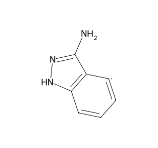 Nc1n[nH]c2ccc[c]c12